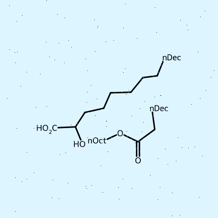 CCCCCCCCCCCC(=O)OCCCCCCCC.CCCCCCCCCCCCCCCCC(O)C(=O)O